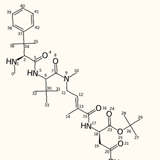 CN[C@H](C(=O)NC(C(=O)N(C)C/C=C(\C)C(=O)N[C@H](CC(=O)O)C(=O)OC(C)(C)C)C(C)(C)C)C(C)(C)c1ccccc1